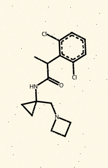 CC(C(=O)NC1(CN2CCC2)CC1)c1c(Cl)cccc1Cl